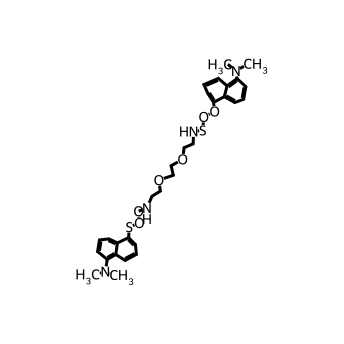 CN(C)c1cccc2c(OOSNCCOCCOCCNOOSc3cccc4c(N(C)C)cccc34)cccc12